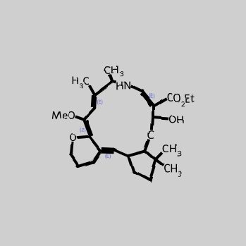 CCOC(=O)/C1=C/NC(C)/C(C)=C/C(OC)=C2/OCCC/C2=C\C2CCC(C)(C)C2CC1O